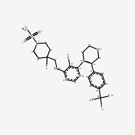 CS(=O)(=O)N1CCC(F)(CNc2ncnc(N3CCOCC3c3ccc(C(F)(F)F)cc3)c2F)CC1